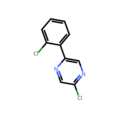 Clc1cnc(-c2ccccc2Cl)cn1